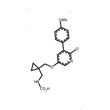 COc1ccc(-c2cc(OCC3(CNC(=O)O)CC3)cnc2Cl)cc1